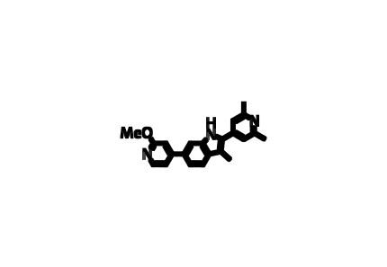 COc1cc(-c2ccc3c(C)c(-c4cc(C)nc(C)c4)[nH]c3c2)ccn1